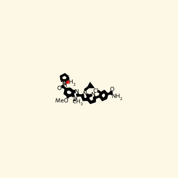 COc1cc(C(=O)N2CC3CCC2[C@@H]3N)cc2nc(-c3cc4ccc(-c5ccc(C(N)=O)cc5Cl)nc4n3CC3CC3)n(C)c12